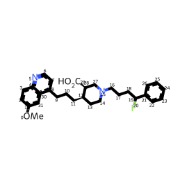 COc1ccc2nccc(CCC[C@@H]3CCN(CCCC(F)c4ccccc4)C[C@@H]3C(=O)O)c2c1